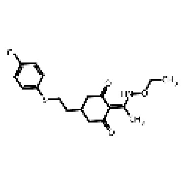 CCONC(C)=C1C(=O)CC(CCSc2ccc(Cl)cc2)CC1=O